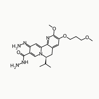 COCCCOc1cc2c(nc1OC)-c1c/c(=N/N)c(C(=O)NN)cn1[C@H](C(C)C)C2